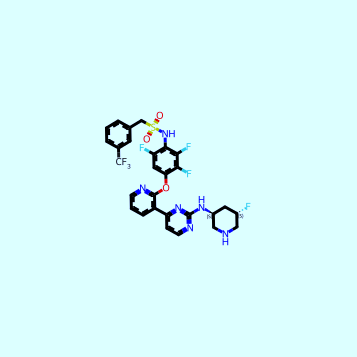 O=S(=O)(Cc1cccc(C(F)(F)F)c1)Nc1c(F)cc(Oc2ncccc2-c2ccnc(N[C@@H]3CNC[C@@H](F)C3)n2)c(F)c1F